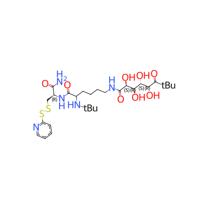 CC(C)(C)NC(CCCCNC(=O)[C@@H](O)[C@H](O)[C@H](O)[C@@H](O)C(=O)C(C)(C)C)C(=O)N[C@@H](CSSc1ccccn1)C(N)=O